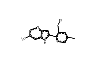 CCSc1cc(I)cnc1-c1cc2ncc(C(F)(F)F)cc2[nH]1